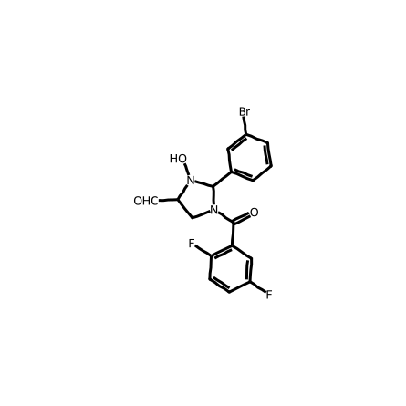 O=CC1CN(C(=O)c2cc(F)ccc2F)C(c2cccc(Br)c2)N1O